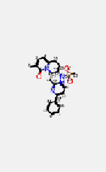 Cc1ccc2n(c1=O)[C@@H](Cc1cccc(-c3ccccc3)n1)[C@@H](NS(C)(=O)=O)CC2